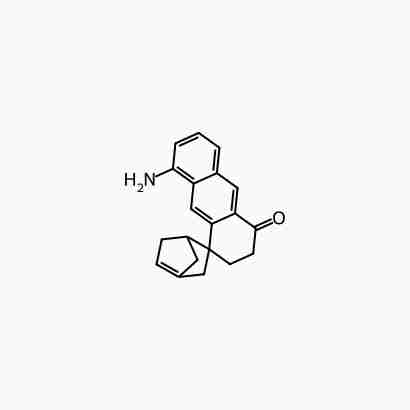 Nc1cccc2cc3c(cc12)C1(CCC3=O)CC2=CCC1C2